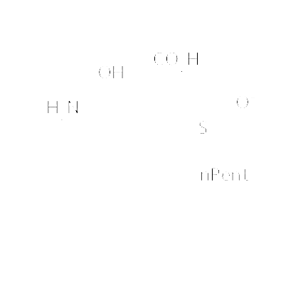 CC=CC=C(C(=O)O)[S+]([O-])CCCCC.NO